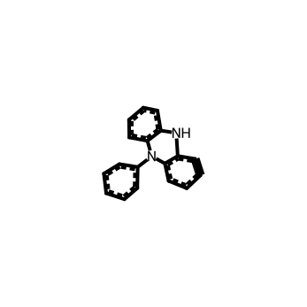 c1ccc2c(c#1)Nc1ccccc1N2c1ccccc1